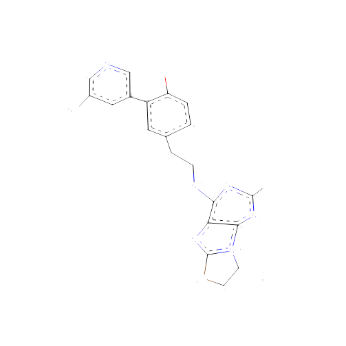 Cc1nc(NCCc2ccc(O)c(-c3cncc(C#N)c3)c2)c2nc3n(c2n1)[C@H](C)CS3